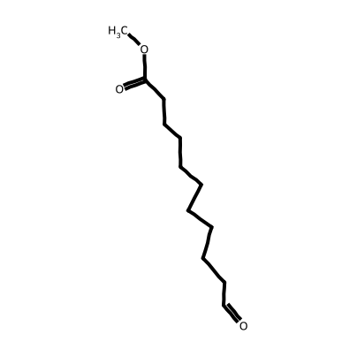 COC(=O)CCCCCCCCCC=O